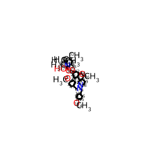 COc1ccc(CN(Cc2ccc(OC)cc2)N2C=CC3=C(C2)c2ccc(OC[C@H](CC(C)C)N(C(=O)O)C(C)(C)C)cc2OC3C)cc1